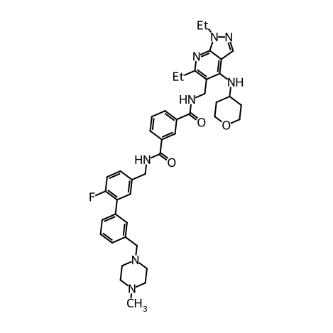 CCc1nc2c(cnn2CC)c(NC2CCOCC2)c1CNC(=O)c1cccc(C(=O)NCc2ccc(F)c(-c3cccc(CN4CCN(C)CC4)c3)c2)c1